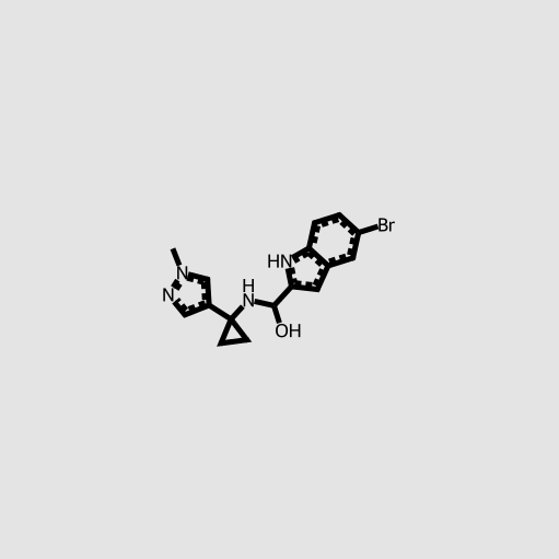 Cn1cc(C2(NC(O)c3cc4cc(Br)ccc4[nH]3)CC2)cn1